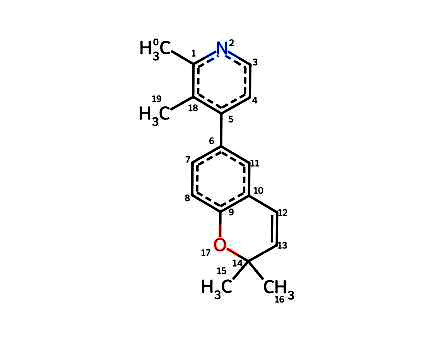 Cc1nccc(-c2ccc3c(c2)C=CC(C)(C)O3)c1C